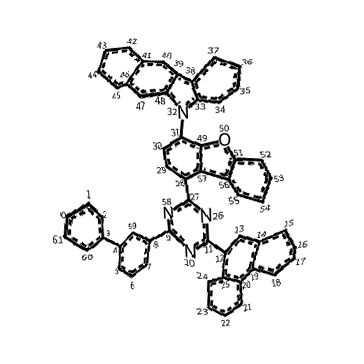 c1ccc(-c2cccc(-c3nc(-c4cc5ccccc5c5ccccc45)nc(-c4ccc(-n5c6ccccc6c6cc7ccccc7cc65)c5oc6ccccc6c45)n3)c2)cc1